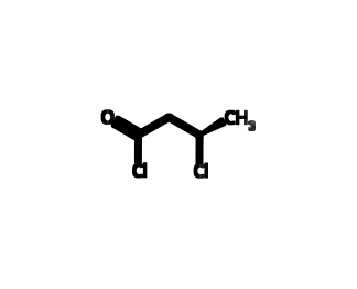 C[C@@H](Cl)CC(=O)Cl